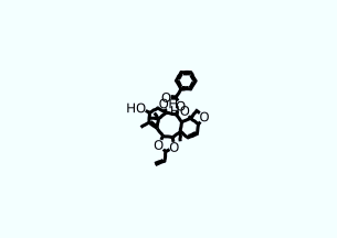 C=CC1OC2C3=C(C)C(O)CC(O)(C(OC(=O)c4ccccc4)C4C(C)(C=CC5OCC54O)C2O1)C3(C)C